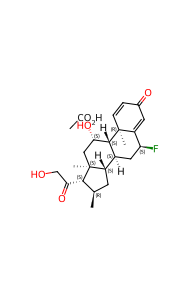 CC(=O)O.C[C@@H]1C[C@H]2[C@@H]3C[C@H](F)C4=CC(=O)C=C[C@]4(C)[C@H]3[C@@H](O)C[C@]2(C)[C@H]1C(=O)CO